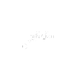 Cn1ccc(NC(=O)[C@@H]2CCN2C(=O)OCc2ccccc2)cc1=O